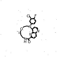 C[C@H]1CCNC(=O)c2ccc3nccc(c3n2)N(c2ccc(F)c(Cl)c2)CCO1